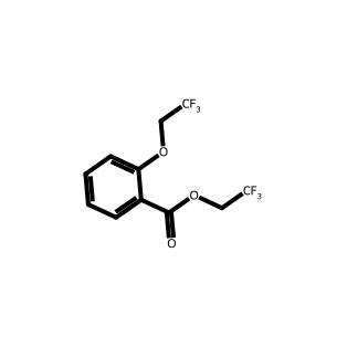 O=C(OCC(F)(F)F)c1ccccc1OCC(F)(F)F